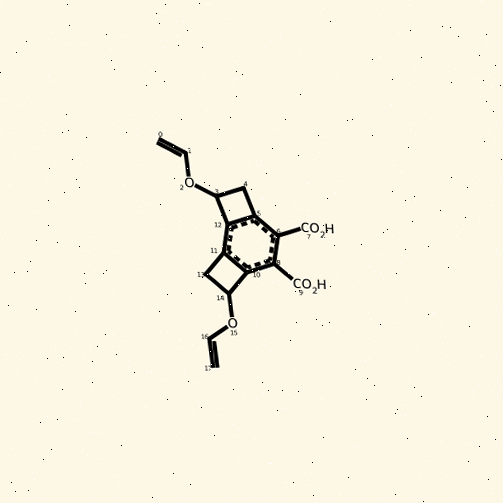 C=COC1Cc2c(C(=O)O)c(C(=O)O)c3c(c21)CC3OC=C